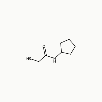 O=C(CS)NC1CCCC1